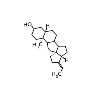 C/C=C1\CC[C@]23CCC4C(CC[C@H]5C[C@H](O)CC[C@]45C)C2CC[C@H]13